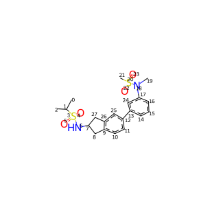 CC(C)S(=O)(=O)NC1Cc2ccc(-c3cccc(N(C)S(C)(=O)=O)c3)cc2C1